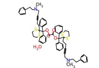 CN(CC#CCCC1(C(OC(=O)C(=O)OC(c2ccccc2)(c2ccccc2)C2(CCC#CCN(C)CCc3ccccc3)SCCCS2)(c2ccccc2)c2ccccc2)SCCCS1)CCc1ccccc1.O